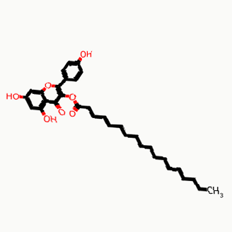 CCCCCCCCCCCCCCCCCC(=O)Oc1c(-c2ccc(O)cc2)oc2cc(O)cc(O)c2c1=O